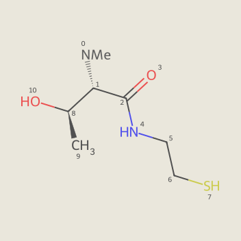 CN[C@H](C(=O)NCCS)[C@@H](C)O